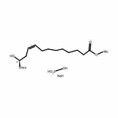 CCCCCC[C@@H](O)C/C=C\CCCCCCCC(=O)OCCCC.O=S(=O)(O)O.[NaH]